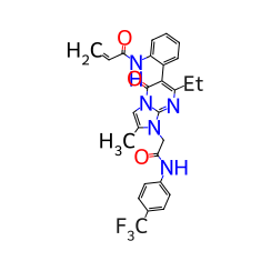 C=CC(=O)Nc1ccccc1-c1c(CC)nc2n(CC(=O)Nc3ccc(C(F)(F)F)cc3)c(C)cn2c1=O